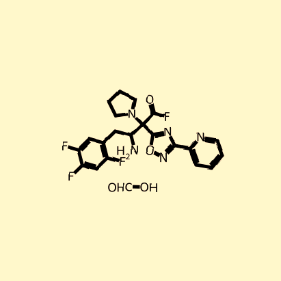 NC(Cc1cc(F)c(F)cc1F)C(C(=O)F)(c1nc(-c2ccccn2)no1)N1CCCC1.O=CO